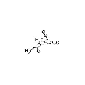 C=CC(=O)OCC(C)(COC=O)N=C=O